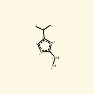 CC(C)c1csc(NS)n1